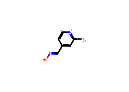 O/N=C/c1ccnc(C(F)(F)F)c1